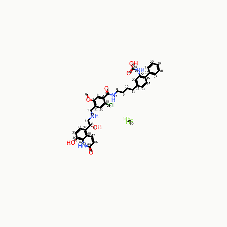 COc1cc(C(=O)NCCCCc2ccc(-c3ccccc3)c(NC(=O)O)c2)c(Cl)cc1CNC[C@H](O)c1ccc(O)c2[nH]c(=O)ccc12.F.F